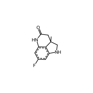 CC12CNc3cc(F)cc(c31)NC(=O)C2